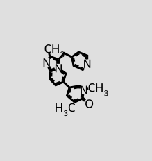 Cc1nc2ccc(-c3cc(C)c(=O)n(C)c3)cn2c1Cc1ccncc1